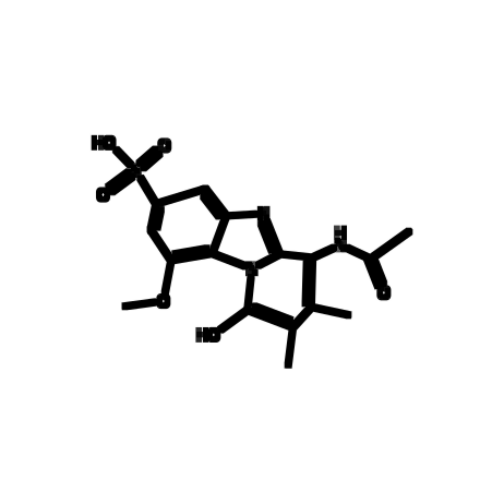 COc1cc(S(=O)(=O)O)cc2nc3c(NC(C)=O)c(C)c(C)c(O)n3c12